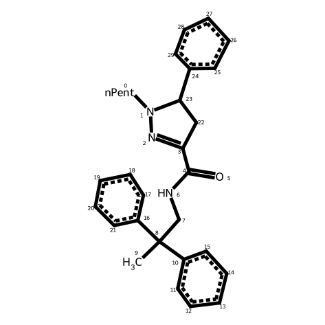 CCCCCN1N=C(C(=O)NCC(C)(c2ccccc2)c2ccccc2)CC1c1ccccc1